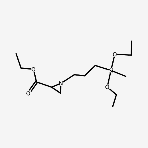 CCOC(=O)C1CN1CCC[Si](C)(OCC)OCC